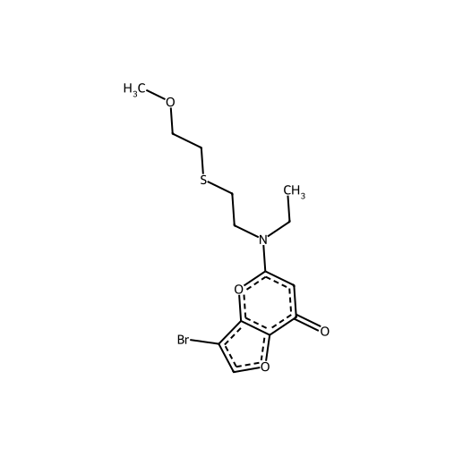 CCN(CCSCCOC)c1cc(=O)c2occ(Br)c2o1